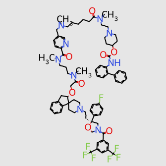 CN(CCCCCC(=O)N(C)CCN1CCC(OC(=O)Nc2ccccc2-c2ccccc2)CC1)Cc1ccc(C(=O)N(C)CCCN(C)C(=O)CO[C@H]2Cc3ccccc3C23CCN(CC[C@]2(c4ccc(F)cc4)CN(C(=O)c4cc(C(F)(F)F)cc(C(F)(F)F)c4)CO2)CC3)nc1